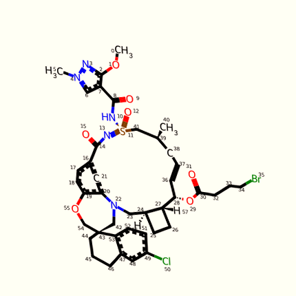 COc1nn(C)cc1C(=O)N[S@@]1(=O)=NC(=O)c2ccc3c(c2)N(C[C@@H]2CC[C@H]2[C@@H](OC(=O)CCCBr)/C=C/C[C@H](C)C1)C[C@@]1(CCCc2cc(Cl)ccc21)CO3